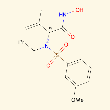 C=C(C)[C@H](C(=O)NO)N(CC(C)C)S(=O)(=O)c1cccc(OC)c1